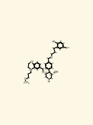 COCCCN1CCOc2ccc(CO[C@H]3CNC[C@@H](O)C3c3ccc(COCCCc4cc(F)ccc4F)cc3)cc21